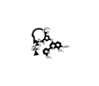 COc1ccc2c(OC3CC4C(=O)NC5(C(=O)NS(=O)(=O)C6CC6)CC5/C=C/CCCCN(C)C(=O)C4C3)cc(-c3cccc(C)n3)nc2c1C